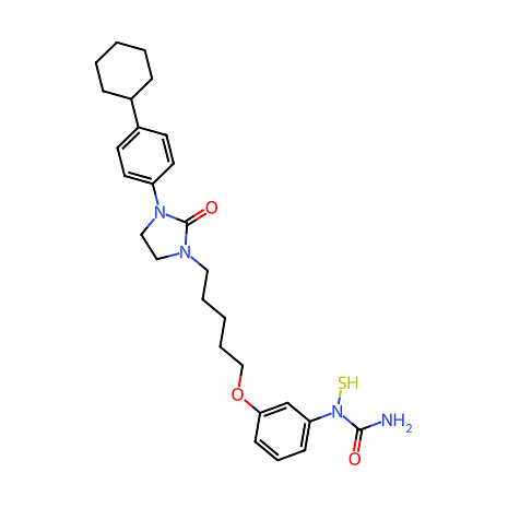 NC(=O)N(S)c1cccc(OCCCCCN2CCN(c3ccc(C4CCCCC4)cc3)C2=O)c1